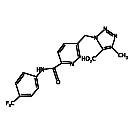 Cc1nnn(Cc2ccc(C(=O)Nc3ccc(C(F)(F)F)cc3)nc2)c1C(=O)O